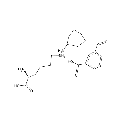 NC1CCCCC1.NCCCC[C@H](N)C(=O)O.O=Cc1cccc(C(=O)O)c1